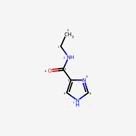 CCNC(=O)c1c[nH]cn1